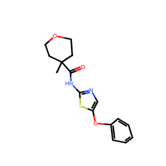 CC1(C(=O)Nc2ncc(Oc3ccccc3)s2)CCOCC1